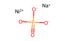 O=P([O-])([O-])[O-].[Na+].[Ni+2]